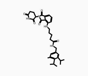 Cc1cc(CNC(=O)CCCCNc2cccc3c2C(=O)N(C2CCC(=O)NC2=O)C3=O)cc(C(C)C)c1C(C)C